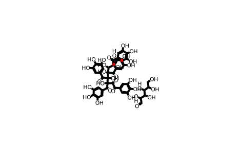 O=C(C(=O)C(O)(C(=O)c1cc(O)c(O)c(O)c1)C(O)(C(=O)c1cc(O)c(O)c(O)c1)C(O)(C(=O)c1cc(O)c(O)c(O)c1)C(O)C(O)C(=O)c1cc(O)c(O)c(O)c1)c1cc(O)c(O)c(O)c1.O=CC(O)C(O)C(O)C(O)CO